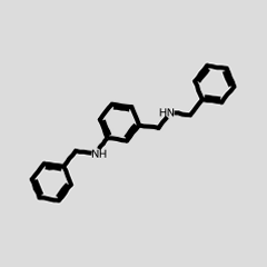 c1ccc(CNCc2cccc(NCc3ccccc3)c2)cc1